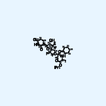 CC(C)OC(=O)[C@H](C)NP(=S)(OC[C@@]1(C(F)F)O[C@@H](n2ccc(=O)[nH]c2=O)[C@H](O)C1(F)F)Oc1ccccc1